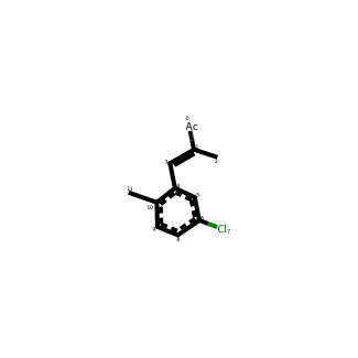 CC(=O)/C(C)=C/c1cc(Cl)ccc1C